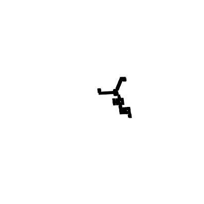 CSC.Cl.Cl